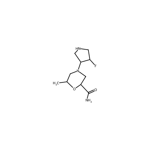 CC1CN(C2CNCC2F)CC(C(N)=O)O1